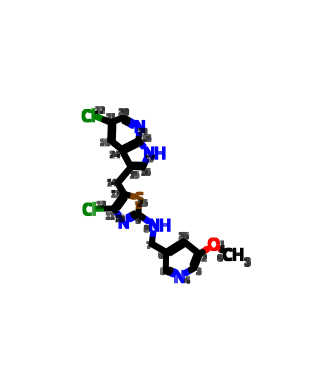 COc1cncc(CNc2nc(Cl)c(Cc3c[nH]c4ncc(Cl)cc34)s2)c1